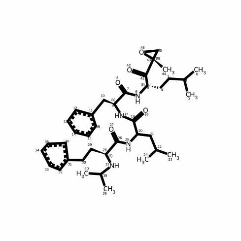 CC(C)CC[C@H](NC(=O)[C@H](Cc1ccccc1)NC(=O)C(CC(C)C)NC(=O)[C@H](CCc1ccccc1)NC(C)C)C(=O)[C@@]1(C)CO1